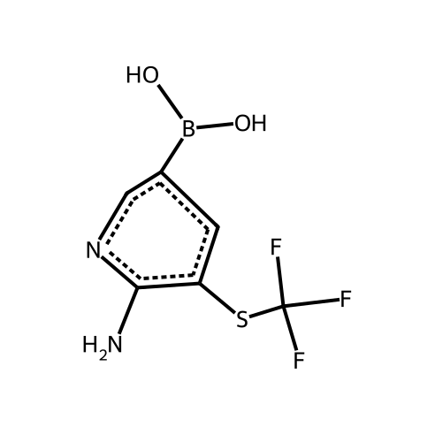 Nc1ncc(B(O)O)cc1SC(F)(F)F